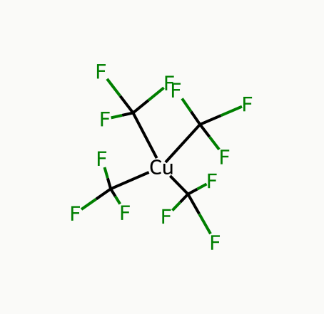 F[C](F)(F)[Cu]([C](F)(F)F)([C](F)(F)F)[C](F)(F)F